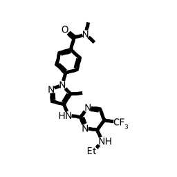 CCNC1N=C(Nc2cnn(-c3ccc(C(=O)N(C)C)cc3)c2C)N=CC1C(F)(F)F